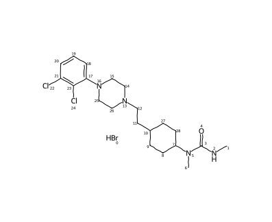 Br.CNC(=O)N(C)C1CCC(CCN2CCN(c3cccc(Cl)c3Cl)CC2)CC1